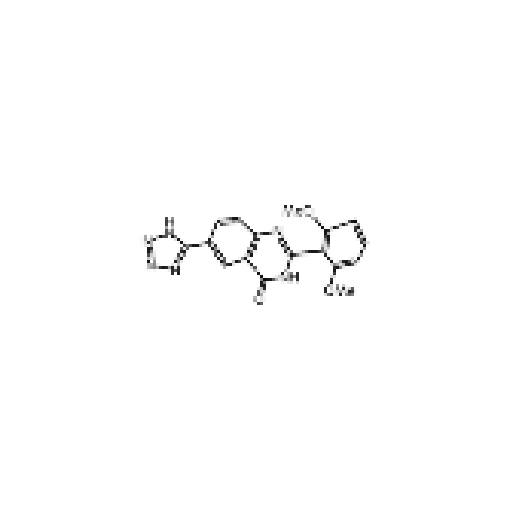 COc1cccc(OC)c1-c1nc2ccc(-c3nnn[nH]3)cc2c(=O)[nH]1